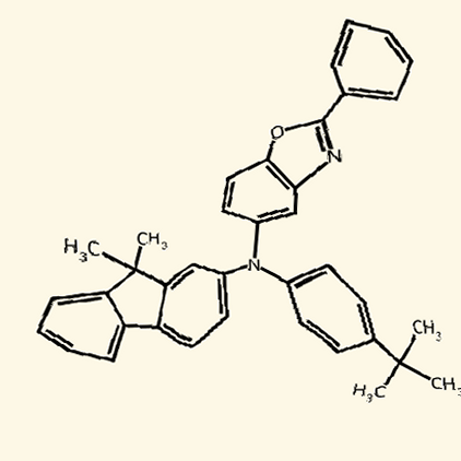 CC(C)(C)c1ccc(N(c2ccc3c(c2)C(C)(C)c2ccccc2-3)c2ccc3oc(-c4ccccc4)nc3c2)cc1